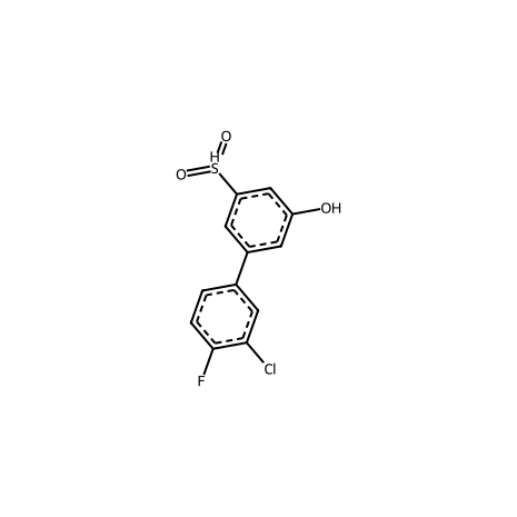 O=[SH](=O)c1cc(O)cc(-c2ccc(F)c(Cl)c2)c1